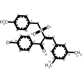 Cc1ccc(CS(=O)(=O)/C(=C/c2cc(C)cc(C)c2)C(=O)c2ccc(Cl)cc2)cc1